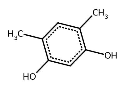 Cc1cc(C)c(O)cc1O